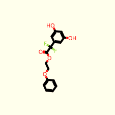 O=C(OCCOc1ccccc1)C(F)(F)c1cc(O)cc(O)c1